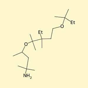 CCC(C)(C)OCCC(C)(CC)C(C)(C)OC(C)CC(C)(C)N